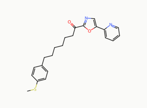 CSc1ccc(CCCCCCC(=O)c2ncc(-c3ccccn3)o2)cc1